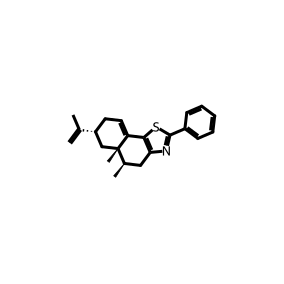 C=C(C)[C@@H]1CC=C2c3sc(-c4ccccc4)nc3C[C@@H](C)[C@]2(C)C1